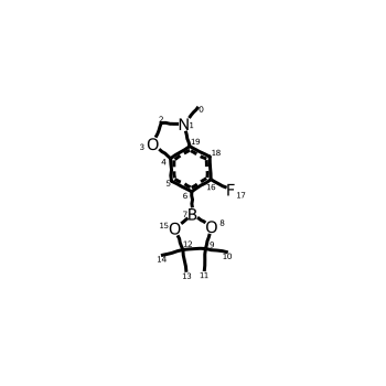 CN1COc2cc(B3OC(C)(C)C(C)(C)O3)c(F)cc21